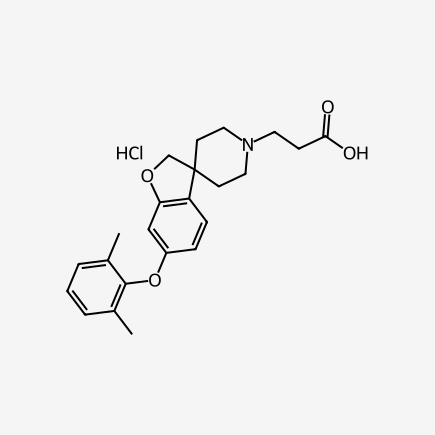 Cc1cccc(C)c1Oc1ccc2c(c1)OCC21CCN(CCC(=O)O)CC1.Cl